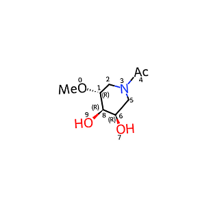 CO[C@@H]1CN(C(C)=O)C[C@@H](O)[C@H]1O